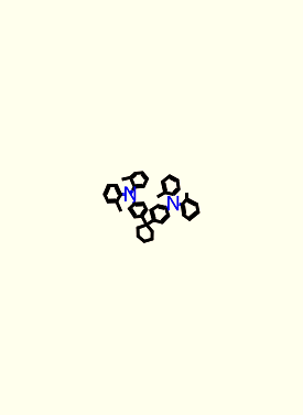 Cc1ccccc1N(c1ccc(C2(c3ccc(N(c4ccccc4C)c4ccccc4C)cc3)CCCCC2)cc1)c1ccccc1C